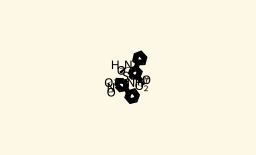 Nc1c(-c2ccccc2)cc([N+](=O)[O-])cc1[S+]([O-])c1cc([N+](=O)[O-])cc(-c2ccccc2)c1N